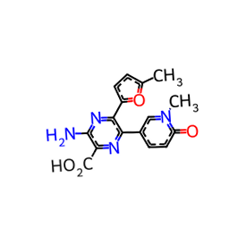 Cc1ccc(-c2nc(N)c(C(=O)O)nc2-c2ccc(=O)n(C)c2)o1